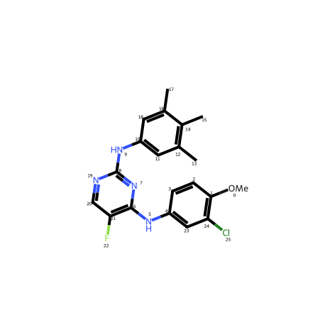 COc1ccc(Nc2nc(Nc3cc(C)c(C)c(C)c3)ncc2F)cc1Cl